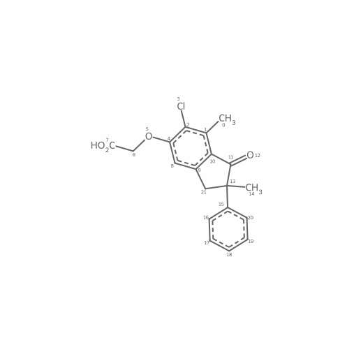 Cc1c(Cl)c(OCC(=O)O)cc2c1C(=O)C(C)(c1ccccc1)C2